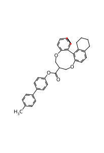 Cc1ccc(-c2ccc(OC(=O)C3COc4ccc5c(c4-c4c(ccc6c4CCCC6)OC3)CCCC5)cc2)cc1